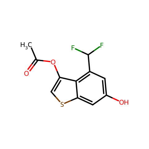 CC(=O)Oc1csc2cc(O)cc(C(F)F)c12